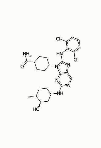 C[C@@H]1CC[C@@H](Nc2ncc3nc(Nc4c(Cl)cccc4Cl)n([C@H]4CC[C@@H](C(N)=O)CC4)c3n2)C[C@H]1O